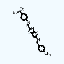 CCN(CC)c1ccc(N=Nc2nc3sc(N=Nc4ccc(C(F)(F)F)cc4)cc3s2)cc1